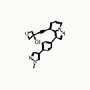 Cn1cc(-c2ccc(-c3cnn4cccc(C#CC5(O)COC5)c34)cc2)cn1